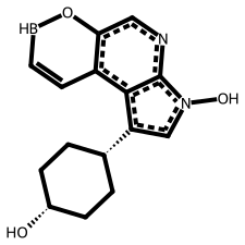 On1cc([C@H]2CC[C@@H](O)CC2)c2c3c(cnc21)OBC=C3